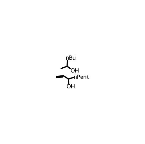 C=CC(O)CCCCC.CCCCC(C)O